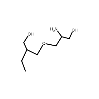 CCC(CO)COCC(N)CO